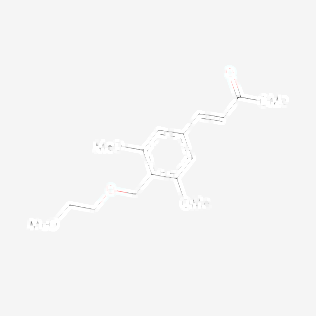 COCCOCc1c(OC)cc(/C=C/C(=O)OC)cc1OC